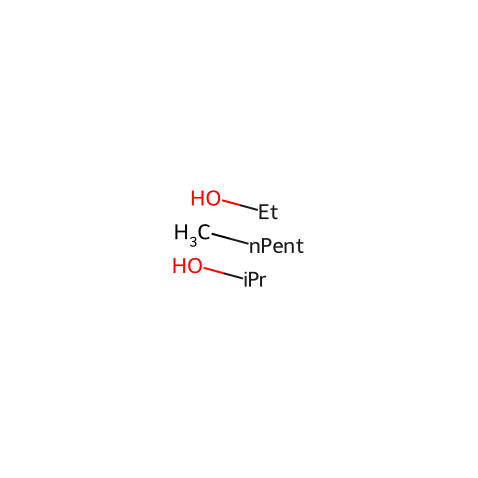 CC(C)O.CCCCCC.CCO